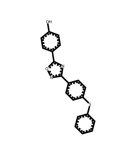 Oc1ccc(-c2nc(-c3ccc(Sc4ccccc4)cc3)no2)cc1